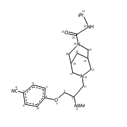 CNC(COc1ccc(C#N)cc1)CN1CC2CC(C1)CN(C(=O)NC(C)C)C2